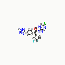 Cn1nnc(-c2ccc([C@@H](C(=O)Nc3cnc(Cl)cn3)[C@@H]3CCC(F)(F)C3)cc2)n1